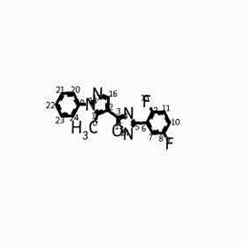 Cc1c(-c2nc(-c3cc(F)ccc3F)no2)cnn1-c1ccccc1